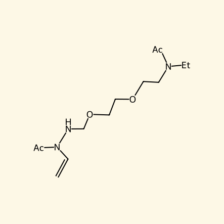 C=CN(NCOCCOCCN(CC)C(C)=O)C(C)=O